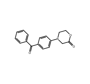 O=C1CN(c2ccc(C(=O)c3ccccc3)cc2)CCO1